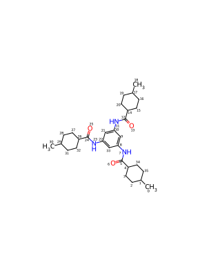 CC1CCC(C(=O)Nc2cc(NC(=O)C3CCC(C)CC3)cc(NC(=O)C3CCC(C)CC3)c2)CC1